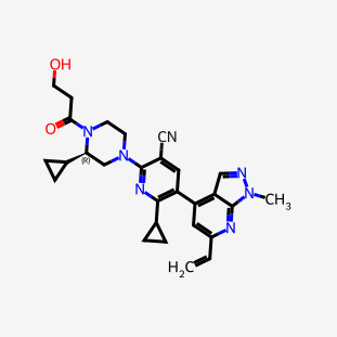 C=Cc1cc(-c2cc(C#N)c(N3CCN(C(=O)CCO)[C@H](C4CC4)C3)nc2C2CC2)c2cnn(C)c2n1